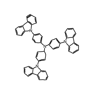 c1ccc2c(c#1)c1ccccc1n2-c1ccc(N(c2ccc(-n3c4ccccc4c4ccccc43)cc2)C2C=CC(n3c4ccccc4c4ccccc43)=CC2)cc1